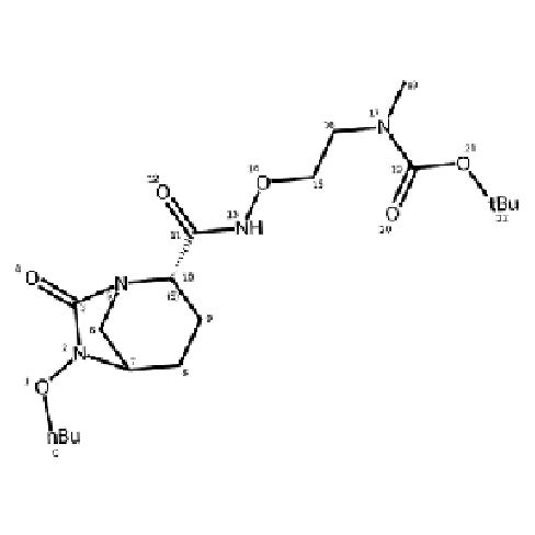 CCCCON1C(=O)N2CC1CC[C@H]2C(=O)NOCCN(C)C(=O)OC(C)(C)C